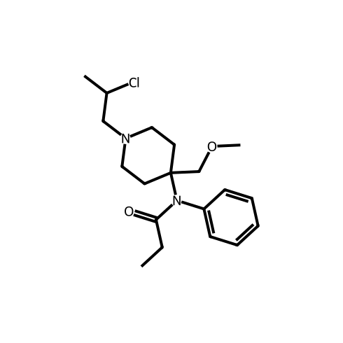 CCC(=O)N(c1ccccc1)C1(COC)CCN(CC(C)Cl)CC1